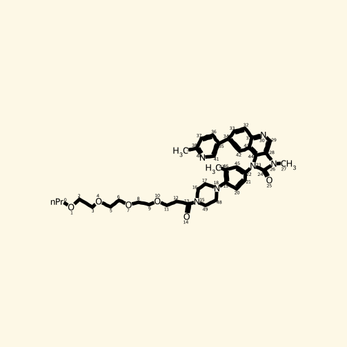 CCCOCCOCCOCCOCCC(=O)N1CCN(c2ccc(-n3c(=O)n(C)c4cnc5ccc(-c6ccc(C)nc6)cc5c43)cc2C)CC1